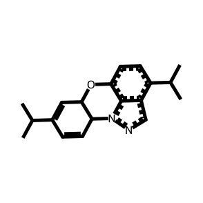 CC(C)C1=CC2Oc3ccc(C(C)C)c4cnn(c34)C2C=C1